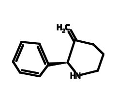 C=C1CCCN[C@H]1c1ccccc1